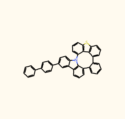 c1ccc(-c2ccc(-c3ccc4c(c3)c3cccc5c6ccccc6c6cccc7sc8cccc(c8c76)n4c53)cc2)cc1